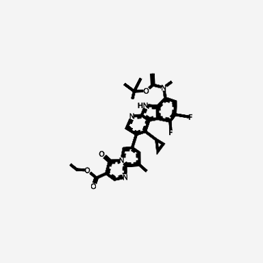 C=C(OC(C)(C)C)N(C)c1cc(F)c(F)c2c1[nH]c1ncc(-c3cc(C)c4ncc(C(=O)OCC)c(=O)n4c3)c(C3CC3)c12